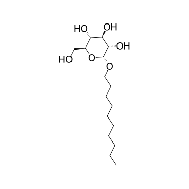 CCCCCCCCCCO[C@@H]1O[C@@H](CO)[C@H](O)[C@@H](O)[C@@H]1O